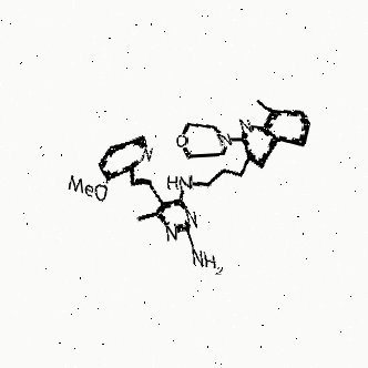 COc1cccnc1/C=C/c1c(C)nc(N)nc1NCCCc1cc2cccc(C)c2nc1N1CCOCC1